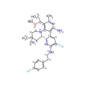 Cc1nc(N)c(-c2cnc(NCCc3ccc(F)cc3)c(F)c2)c(N2CCC(C)(C)CC2)c1C(OC(C)(C)C)C(=O)O